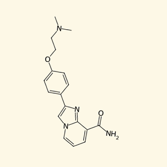 CN(C)CCOc1ccc(-c2cn3cccc(C(N)=O)c3n2)cc1